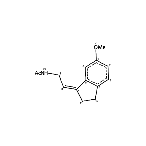 COc1ccc2c(c1)/C(=C\CNC(C)=O)CC2